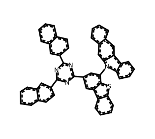 c1ccc2cc(-c3nc(-c4ccc5ccccc5c4)nc(-c4cc(-n5c6ccccc6c6cc7ccccc7cc65)c5sc6ccccc6c5c4)n3)ccc2c1